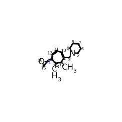 CC1C(CN2CCCCC2)=CC=C/C(=C2/CO2)C1C